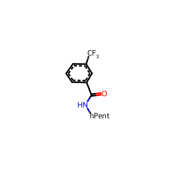 CCCCCNC(=O)c1cccc(C(F)(F)F)c1